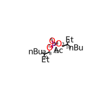 CCCCC(CC)COP(=O)(OCC(CC)CCCC)C(C)=O